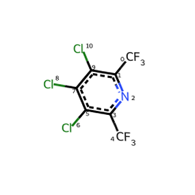 FC(F)(F)c1nc(C(F)(F)F)c(Cl)c(Cl)c1Cl